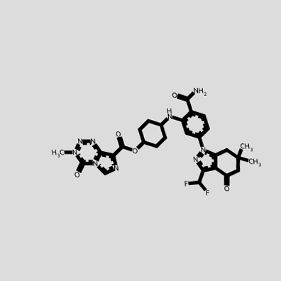 Cn1nnc2c(C(=O)OC3CCC(Nc4cc(-n5nc(C(F)F)c6c5CC(C)(C)CC6=O)ccc4C(N)=O)CC3)ncn2c1=O